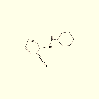 O=C=C1C=CC=CC1NNC1CCCCC1